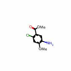 COC(=O)c1cc(N)c(OC)cc1Cl